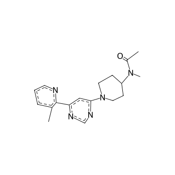 CC(=O)N(C)C1CCN(c2cc(-c3ncccc3C)ncn2)CC1